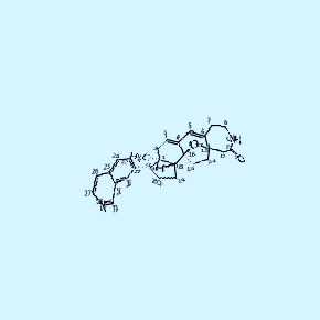 C[C@]12CC=C3C=C4CCNC(=O)C[C@]45CC[C@]3(O5)[C@@H]1CC[C@@H]2c1ccc2ccncc2c1